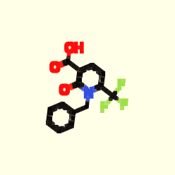 O=C(O)c1ccc(C(F)(F)F)n(Cc2ccccc2)c1=O